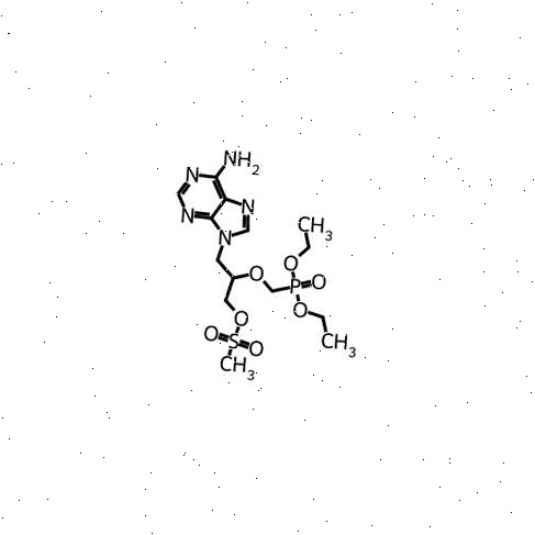 CCOP(=O)(COC(COS(C)(=O)=O)Cn1cnc2c(N)ncnc21)OCC